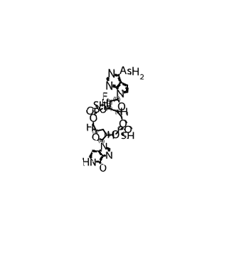 O=c1[nH]ccc2c1ncn2[C@@H]1O[C@@H]2COP(=O)(S)O[C@H]3[C@H](F)[C@H](n4ccc5c([AsH2])ncnc54)O[C@@H]3COP(=O)(S)O[C@@H]1C2